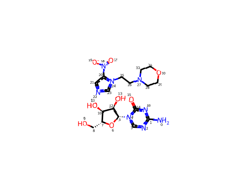 Nc1ncn([C@@H]2O[C@H](CO)[C@@H](O)[C@H]2O)c(=O)n1.O=[N+]([O-])c1cncn1CCN1CCOCC1